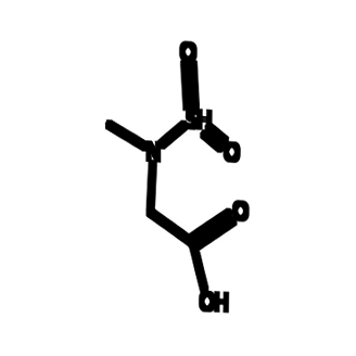 CN(CC(=O)O)[SH](=O)=O